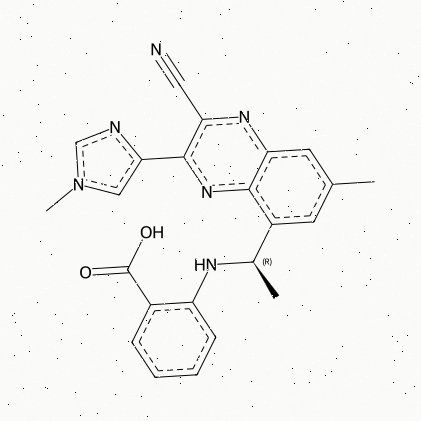 Cc1cc([C@@H](C)Nc2ccccc2C(=O)O)c2nc(-c3cn(C)cn3)c(C#N)nc2c1